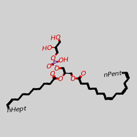 CCCCC/C=C\C/C=C\C/C=C\CCCCCCC(=O)OC[C@H](COP(=O)(O)OC[C@@H](O)CO)OC(=O)CCCCCCC/C=C\CCCCCCC